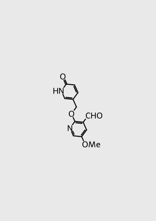 COc1cnc(OCc2ccc(=O)[nH]c2)c(C=O)c1